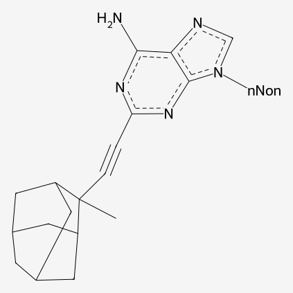 CCCCCCCCCn1cnc2c(N)nc(C#CC3(C)C4CC5CC(C4)CC3C5)nc21